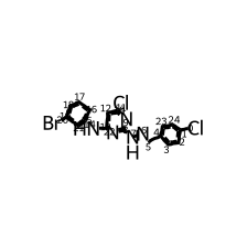 Clc1ccc(/C=N/Nc2nc(Cl)cc(Nc3cccc(Br)c3)n2)cc1